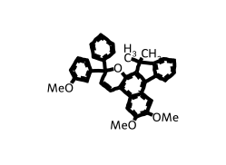 COc1cccc(C2(c3ccccc3)C=Cc3c(c4c(c5cc(OC)c(OC)cc35)-c3ccccc3C4(C)C)O2)c1